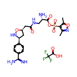 Cc1noc(C)c1S(=O)(=O)OC(=O)[C@@H](N)CNC(=O)C[C@H]1C[C@@H](c2ccc(C(=N)N)cc2)NO1.O=C(O)C(F)(F)F